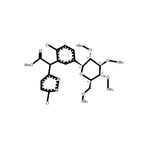 CCCCOC[C@H]1O[C@@H](c2ccc(Cl)c(C(C(=O)OC)c3ccc(Cl)nn3)c2)[C@H](OCCCC)[C@@H](OCCCC)[C@@H]1OCCCC